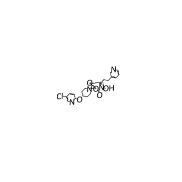 O=CN(O)[C@H](CCc1cccnc1)CS(=O)(=O)N1CCC(Oc2ccc(Cl)cn2)CC1